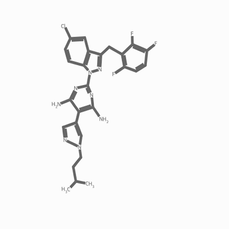 CC(C)CCn1cc(-c2c(N)nc(-n3nc(Cc4c(F)ccc(F)c4F)c4cc(Cl)ccc43)nc2N)cn1